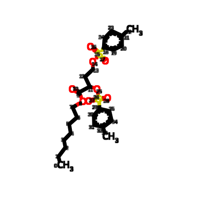 CCCCCCCCOC(=O)C(CCOS(=O)(=O)c1ccc(C)cc1)OS(=O)(=O)c1ccc(C)cc1